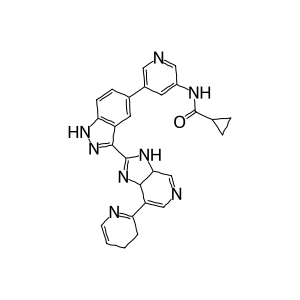 O=C(Nc1cncc(-c2ccc3[nH]nc(C4=NC5C(C6=NC=CCC6)=CN=CC5N4)c3c2)c1)C1CC1